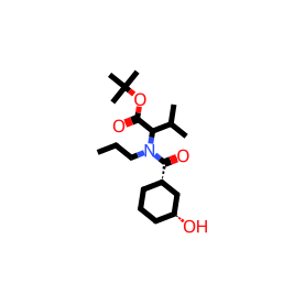 CCCN(C(=O)[C@H]1CCC[C@@H](O)C1)C(C(=O)OC(C)(C)C)C(C)C